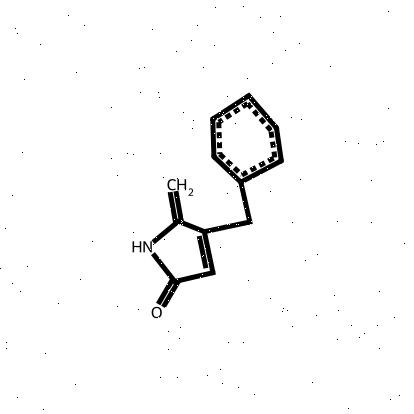 C=C1NC(=O)C=C1Cc1ccccc1